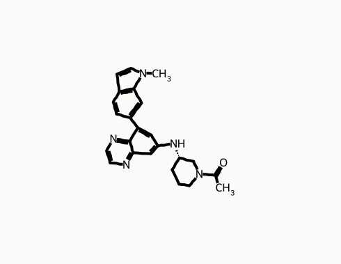 CC(=O)N1CCC[C@H](Nc2cc(-c3ccc4ccn(C)c4c3)c3nccnc3c2)C1